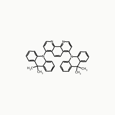 CC1(C)c2ccccc2N(c2ccnc3c2ccc2c(N4c5ccccc5C(C)(C)c5ccccc54)ccnc23)c2ccccc21